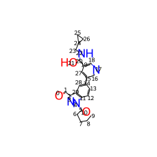 O=Cc1nn(C2CCCCO2)c2ccc(-c3cncc(C(O)NCC4CC4)c3)cc12